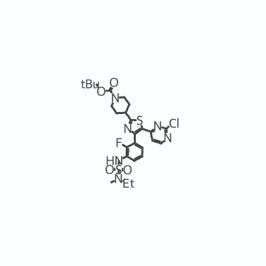 CCN(C)S(=O)(=O)Nc1cccc(-c2nc(C3CCN(C(=O)OC(C)(C)C)CC3)sc2-c2ccnc(Cl)n2)c1F